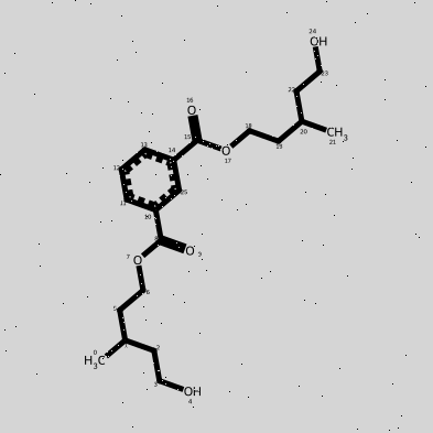 CC(CCO)CCOC(=O)c1cccc(C(=O)OCCC(C)CCO)c1